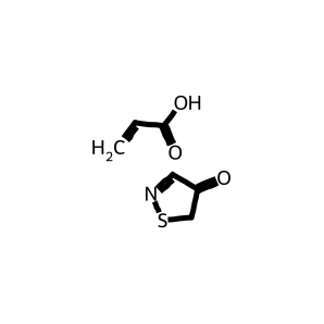 C=CC(=O)O.O=C1C=NSC1